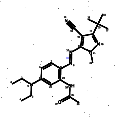 CCN(CC)c1ccc(/N=N/c2c(C#N)c(C(C)(C)C)nn2C)c(NC(C)=O)c1